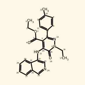 CCOC(=O)c1c(-c2ccc(C)cc2)nn(CC)c(=O)c1Nc1cncc2ccccc12